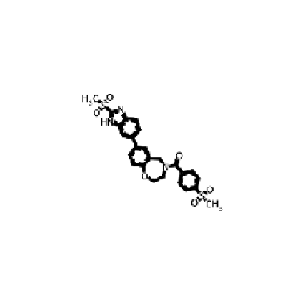 CS(=O)(=O)c1ccc(C(=O)N2CCOc3ccc(-c4ccc5nc(S(C)(=O)=O)[nH]c5c4)cc3C2)cc1